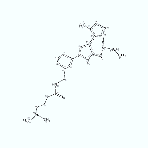 CNc1nc2[nH]c(-c3cccc(CNC(=O)CCCN(C)C)c3)cc2c2c1ncn2C